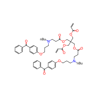 C=CC(=O)OCC(COC(=O)C=C)(COC(=O)CCN(CCCC)CCCOc1ccc(C(=O)c2ccccc2)cc1)COC(=O)CCN(CCCC)CCCOc1ccc(C(=O)c2ccccc2)cc1